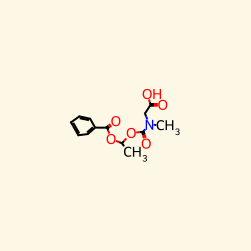 CC(OC(=O)c1ccccc1)OC(=O)N(C)CC(=O)O